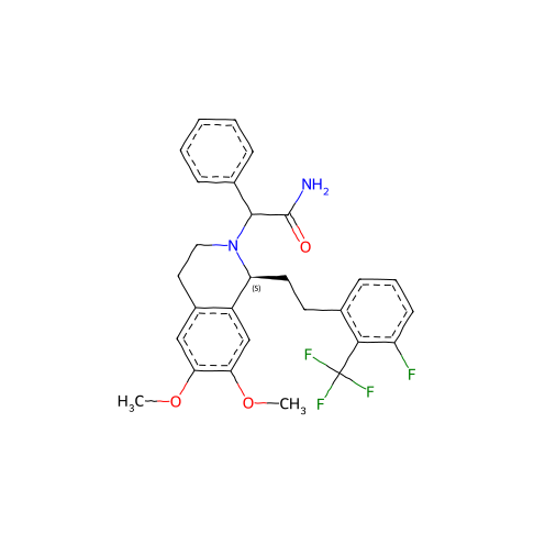 COc1cc2c(cc1OC)[C@H](CCc1cccc(F)c1C(F)(F)F)N(C(C(N)=O)c1ccccc1)CC2